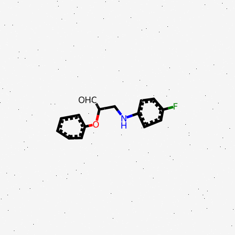 O=CC(CNc1ccc(F)cc1)Oc1ccccc1